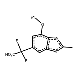 Cc1nc2c(OC(C)C)cc(C(F)(F)C(=O)O)cc2s1